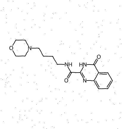 O=C(NCCCCN1CCOCC1)c1nc2ccccc2c(=O)[nH]1